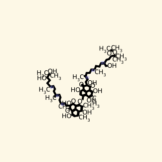 C/C(=C\CC/C(C)=C/CC1(O)C(=O)c2c(O)cc(COc3c(C)c(O)c4c(C)cc(O)c5c4c3C(=O)C(O)(C/C=C(\C)CC/C=C(\C)CC/C=C(\C)CCC(O)C(C)(C)O)C5=O)c3c(O)c(C)c(O)c(c23)C1=O)CC/C=C(\CO)CCC1OC(C)(C)OC1(C)C